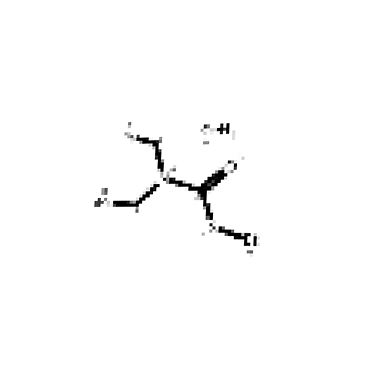 CCSC(=O)N(CC(C)C)CC(C)C.[GeH4]